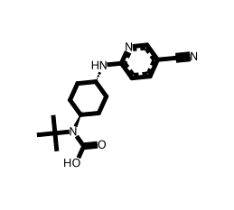 CC(C)(C)N(C(=O)O)[C@H]1CC[C@H](Nc2ccc(C#N)cn2)CC1